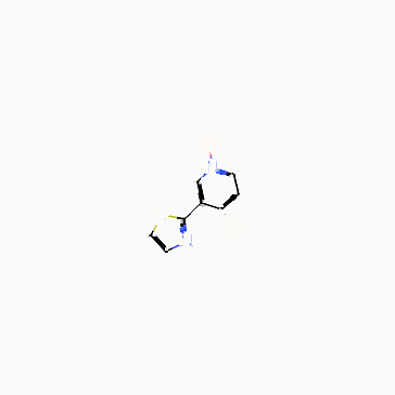 [O-][n+]1cccc(-c2nccs2)c1.[S-2]